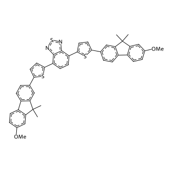 COc1ccc2c(c1)C(C)(C)c1cc(-c3ccc(-c4ccc(-c5ccc(-c6ccc7c(c6)C(C)(C)c6cc(OC)ccc6-7)s5)c5nsnc45)s3)ccc1-2